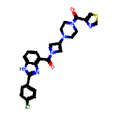 O=C(c1cscn1)N1CCN(C2CN(C(=O)c3cccc4[nH]c(-c5ccc(Cl)cc5)nc34)C2)CC1